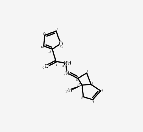 O=C(N/N=C1\CC2C=CC[C@H]12)c1ccco1